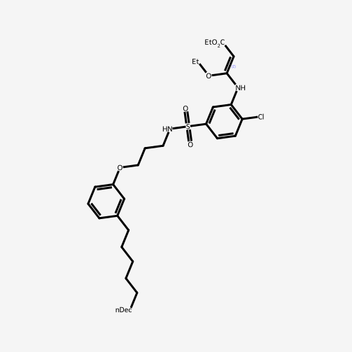 CCCCCCCCCCCCCCCc1cccc(OCCCNS(=O)(=O)c2ccc(Cl)c(N/C(=C/C(=O)OCC)OCC)c2)c1